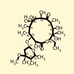 CC[C@H]1OC(=O)[C@H](C)[C@@H](O[C@H]2C[C@@](C)(OC)[C@@H](C)[C@H](C)O2)[C@H](C)[C@@H](C)[C@](C)(O)C[C@@H](C)C(=O)[C@H](C)[C@@H](O)[C@]1(C)O